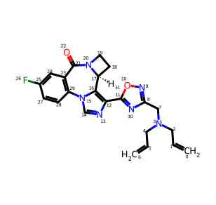 C=CCN(CC=C)Cc1noc(-c2ncn3c2[C@@H]2CCN2C(=O)c2cc(F)ccc2-3)n1